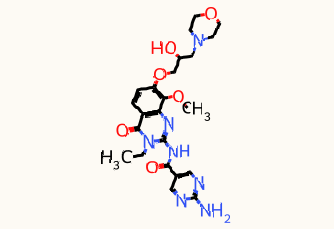 CCn1c(NC(=O)c2cnc(N)nc2)nc2c(OC)c(OCC(O)CN3CCOCC3)ccc2c1=O